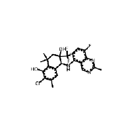 Cc1ncc2c(NC3c4cc(C)c(Cl)c(O)c4C(C)(C)CC3(O)C(F)(F)F)ccc(F)c2n1